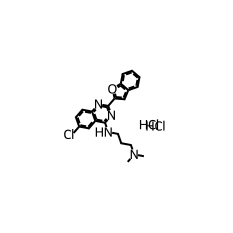 CN(C)CCCNc1nc(-c2cc3ccccc3o2)nc2ccc(Cl)cc12.Cl.Cl